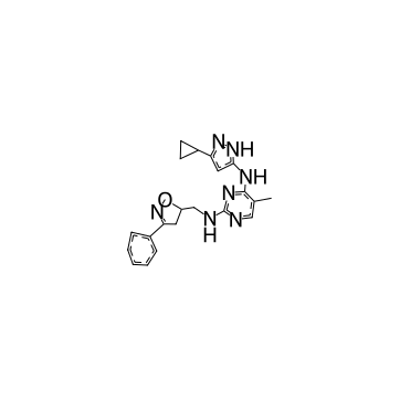 Cc1cnc(NCC2CC(c3ccccc3)=NO2)nc1Nc1cc(C2CC2)n[nH]1